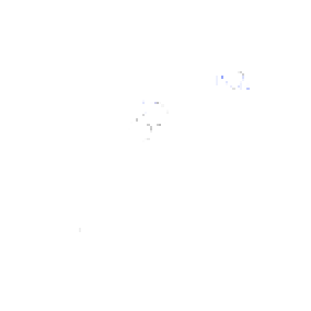 CCCCCCCCCCCCCCCCCCc1ncc[nH]1.c1ccc2ncccc2c1